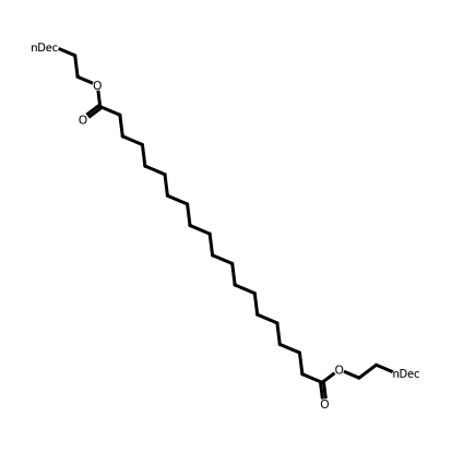 CCCCCCCCCCCCOC(=O)CCCCCCCCCCCCCCCCCCC(=O)OCCCCCCCCCCCC